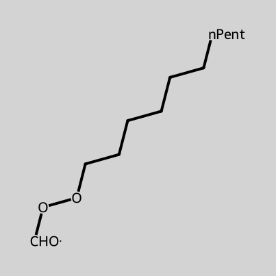 CCCCCCCCCCCOO[C]=O